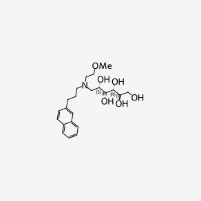 COCCN(CCCc1ccc2ccccc2c1)C[C@H](O)[C@@H](O)[C@H](O)[C@H](O)CO